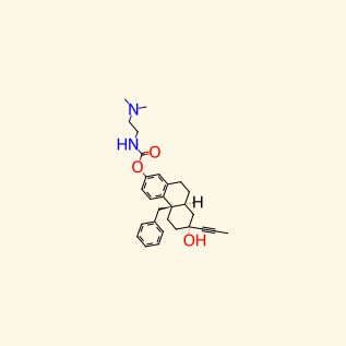 CC#C[C@@]1(O)CC[C@]2(Cc3ccccc3)c3ccc(OC(=O)NCCN(C)C)cc3CC[C@H]2C1